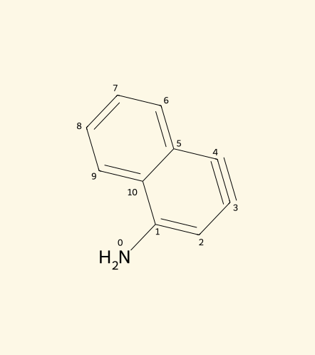 Nc1cc#cc2ccccc12